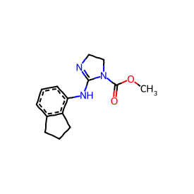 COC(=O)N1CCN=C1Nc1cccc2c1CCC2